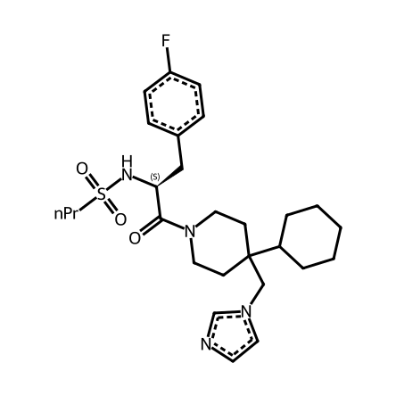 CCCS(=O)(=O)N[C@@H](Cc1ccc(F)cc1)C(=O)N1CCC(Cn2ccnc2)(C2CCCCC2)CC1